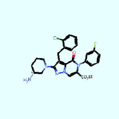 CCOC(=O)c1cn2nc(N3CCC[C@@H](N)C3)c(Cc3ccccc3Cl)c2c(=O)n1-c1cccc(F)c1